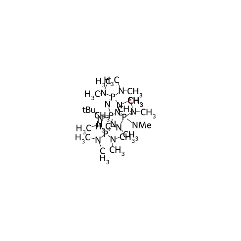 CNP(=NP(=NC(C)(C)C)(N=P(N(C)C)(N(C)C)N(C)C)N=P(N(C)C)(N(C)C)N(C)C)(N(C)C)N(C)C